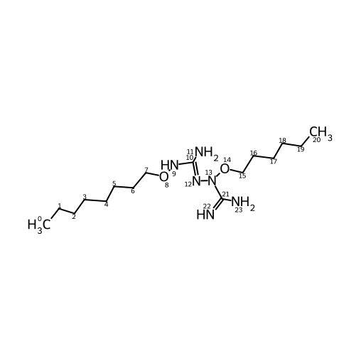 CCCCCCCCONC(N)=NN(OCCCCCC)C(=N)N